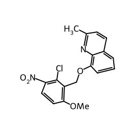 COc1ccc([N+](=O)[O-])c(Cl)c1COc1cccc2ccc(C)nc12